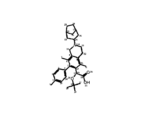 Cc1ccc(-c2c(C)c3c(c(C)c2[C@H](OC(C)(C)C)C(=O)O)CCN(C2CC4CCC(C4)C2)C3)cc1